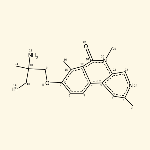 Cc1cc2c3ccc(OCC(C)(N)CC(C)C)c(C)c3c(=O)n(C)c2cn1